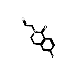 O=CCN1CCc2cc(F)ccc2C1=O